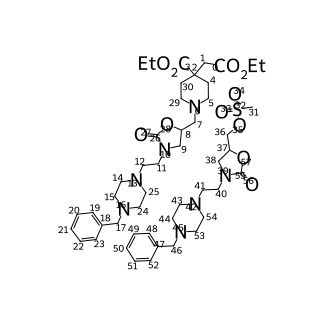 CCOC(=O)CC1(C(=O)OCC)CCN(CC2CN(CCN3CCN(Cc4ccccc4)CC3)C(=O)O2)CC1.CS(=O)(=O)OCC1CN(CCN2CCN(Cc3ccccc3)CC2)C(=O)O1